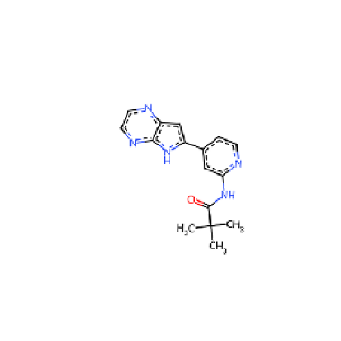 CC(C)(C)C(=O)Nc1cc(-c2cc3nccnc3[nH]2)ccn1